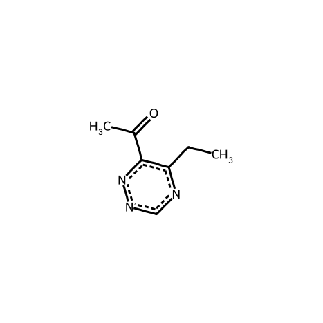 CCc1ncnnc1C(C)=O